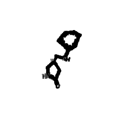 O=C1C[C@H](CNc2ccccc2)CN1